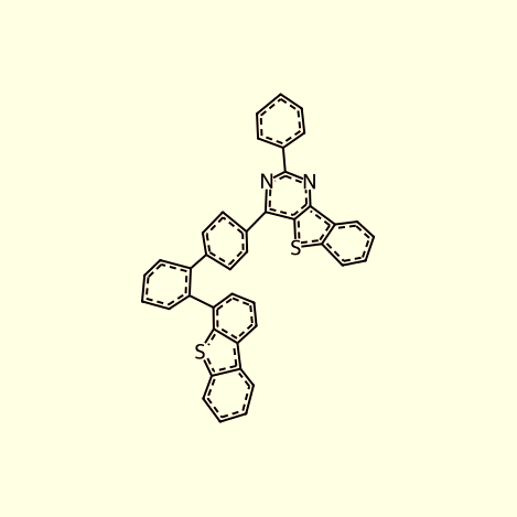 c1ccc(-c2nc(-c3ccc(-c4ccccc4-c4cccc5c4sc4ccccc45)cc3)c3sc4ccccc4c3n2)cc1